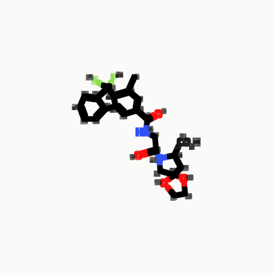 Cc1cc(C(=O)NCC(=O)N2CC3(CC2C(=O)O)OCCO3)cc2c1C(F)(F)c1ccccc1-2